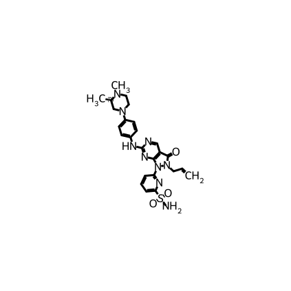 C=CCn1c(=O)c2cnc(Nc3ccc(N4CCN(C)[C@H](C)C4)cc3)nc2n1-c1cccc(S(N)(=O)=O)n1